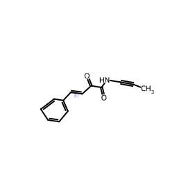 CC#CNC(=O)C(=O)/C=C/c1ccccc1